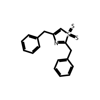 S=S1(=S)C=C(Cc2ccccc2)N=C1Cc1ccccc1